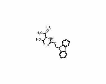 COC(C)[C@@H](NC(=O)OCC1c2ccccc2-c2ccccc21)C(=O)O